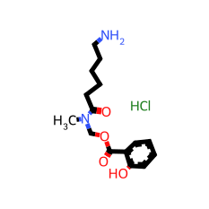 CN(COC(=O)c1ccccc1O)C(=O)CCCCCN.Cl